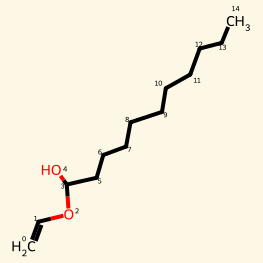 C=COC(O)CCCCCCCCCC